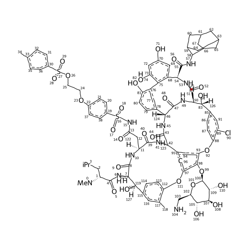 CN[C@H](CC(C)C)C(=O)N[C@H]1C(=O)N[C@@H](CC(=O)NS(=O)(=O)c2ccc(OCCOS(=O)(=O)c3ccc(C)cc3)cc2)C(=O)N[C@H]2C(=O)N[C@H]3C(=O)N[C@H](C(=O)N[C@H](C(=O)NC4C5CC6CC(C5)CC4C6)c4cc(O)cc(O)c4-c4cc3ccc4O)[C@H](O)c3ccc(c(Cl)c3)Oc3cc2cc(c3O[C@@H]2O[C@H](CN)[C@@H](O)[C@H](O)[C@H]2O)Oc2ccc(cc2C)[C@H]1O